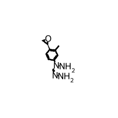 Cc1cc(N(N)/C=N\N)ccc1[C@H]1CO1